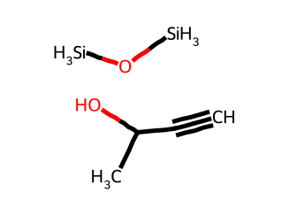 C#CC(C)O.[SiH3]O[SiH3]